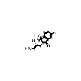 CC=CC[C@@H]1C(=O)c2cc(F)ccc2C1(C)C